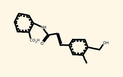 Cc1cc(/C=C/C(=O)Nc2ccccc2C(=O)O)ccc1CO